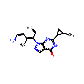 C=C/C(=C(C)\C=C/N)n1ncc2c(=O)[nH]c(C3CC3C)nc21